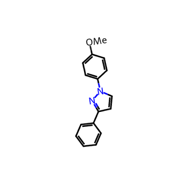 COc1ccc(-n2ccc(-c3ccccc3)n2)cc1